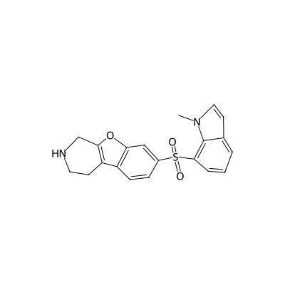 Cn1ccc2cccc(S(=O)(=O)c3ccc4c5c(oc4c3)CNCC5)c21